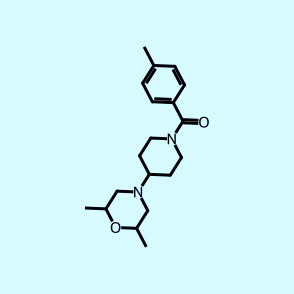 Cc1ccc(C(=O)N2CCC(N3CC(C)OC(C)C3)CC2)cc1